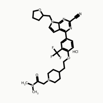 CN(C)C(=O)CN1CCC(CCOc2ccc(-c3nc(C#N)nc4c3ccn4CC3CCCO3)cc2C(F)(F)F)CC1.Cl